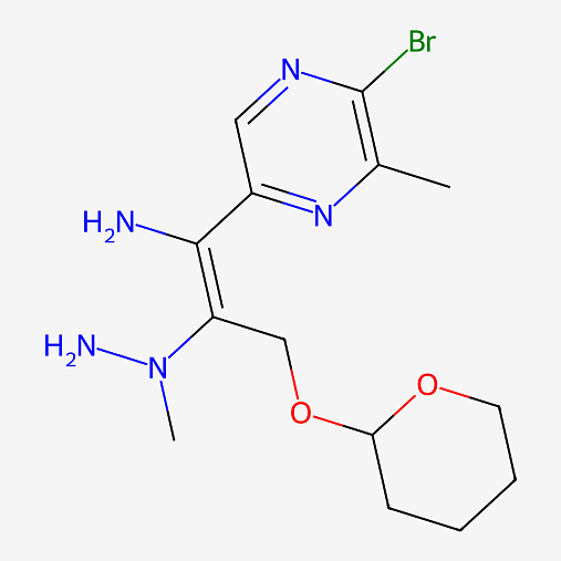 Cc1nc(/C(N)=C(\COC2CCCCO2)N(C)N)cnc1Br